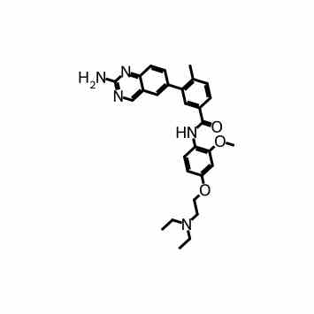 CCN(CC)CCOc1ccc(NC(=O)c2ccc(C)c(-c3ccc4nc(N)ncc4c3)c2)c(OC)c1